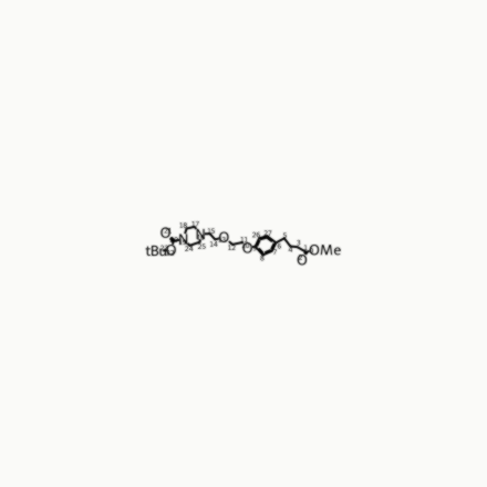 COC(=O)CCCc1ccc(OCCOCCN2CCN(C(=O)OC(C)(C)C)CC2)cc1